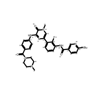 CN1CCN(C(=O)c2ccc(Nc3nc(-c4cccc(NC(=O)c5ccc(C(C)(C)C)nc5)c4F)cn(C)c3=O)cc2)CC1